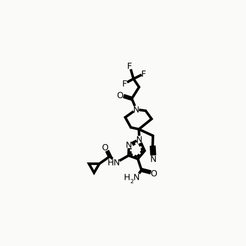 N#CCC1(n2cc(C(N)=O)c(NC(=O)C3CC3)n2)CCN(C(=O)CC(F)(F)F)CC1